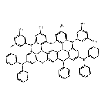 CCCCc1cc(C)cc(N2c3cc(C)cc(I)c3B3c4cc5c(cc4N(c4ccccc4)c4cc(N(c6ccccc6)c6ccccc6)cc2c43)Sc2cc(N(c3ccccc3)c3ccccc3)cc3c2B5c2c(CCCC)cc(C)cc2N3c2cc(C)cc(I)c2)c1